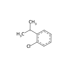 C[C](C)c1ccccc1Cl